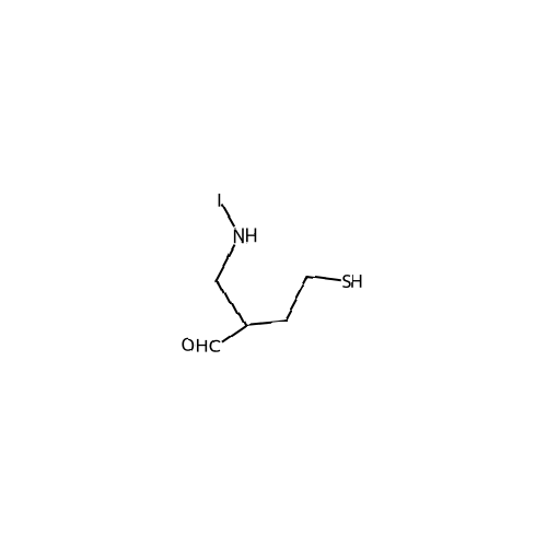 O=CC(CCS)CNI